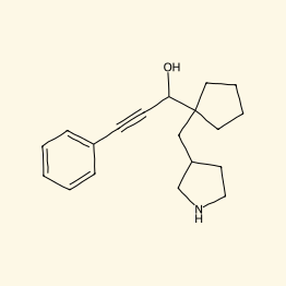 OC(C#Cc1ccccc1)C1(CC2CCNC2)CCCC1